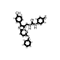 Cc1ccc(-c2nc3ccc(Sc4ccccc4)nn3c2CNC(=O)Nc2ccc(F)cc2)cc1